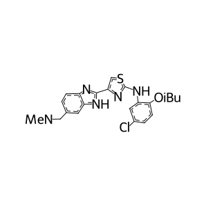 CNCc1ccc2nc(-c3csc(Nc4cc(Cl)ccc4OCC(C)C)n3)[nH]c2c1